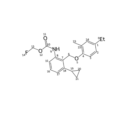 CCc1ccc(OCc2c(NC(=O)OCF)cccc2C2CC2)c(C)c1